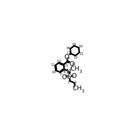 CCCS(=O)(=O)N(C)c1ccccc1C(=O)OC1CCCCC1